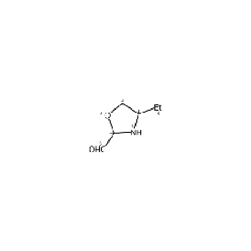 CCC1COC(C=O)N1